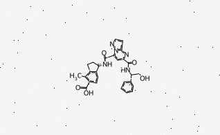 Cc1c(C(=O)O)ccc2c1CC[C@@H]2NC(=O)c1cc(C(=O)NC(CO)c2ccccc2)nc2ccnn12